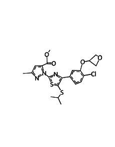 COC(=O)c1cc(C)nn1-c1nc(-c2ccc(Cl)c(OC3COC3)c2)c(SC(C)C)s1